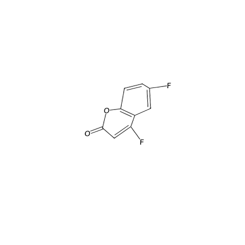 O=c1cc(F)c2cc(F)ccc2o1